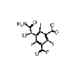 NC(=O)C(Cl)c1c(I)c(C(=O)Cl)c(I)c(C(=O)Cl)c1I